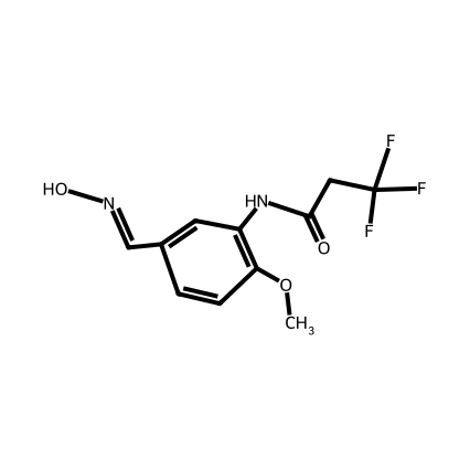 COc1ccc(C=NO)cc1NC(=O)CC(F)(F)F